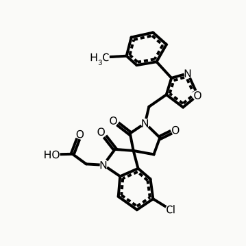 Cc1cccc(-c2nocc2CN2C(=O)CC3(C2=O)C(=O)N(CC(=O)O)c2ccc(Cl)cc23)c1